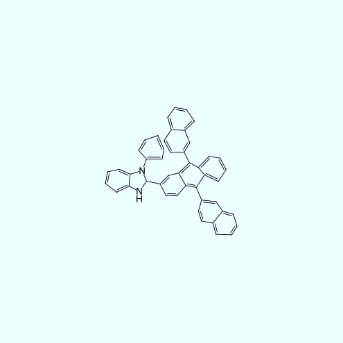 c1ccc(N2c3ccccc3NC2c2ccc3c(-c4ccc5ccccc5c4)c4ccccc4c(-c4ccc5ccccc5c4)c3c2)cc1